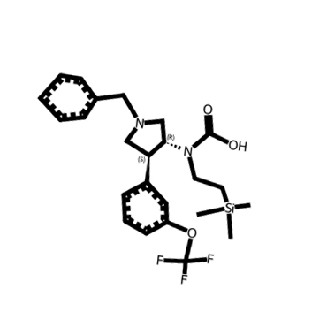 C[Si](C)(C)CCN(C(=O)O)[C@H]1CN(Cc2ccccc2)C[C@@H]1c1cccc(OC(F)(F)F)c1